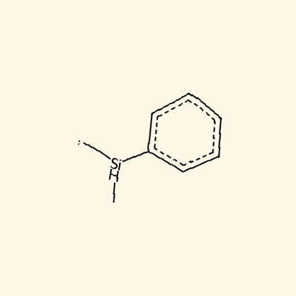 [CH][SiH](C)c1ccccc1